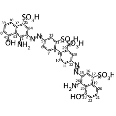 Nc1c(N=Nc2ccc(-c3ccc(N=Nc4cc(S(=O)(=O)O)c5cccc(O)c5c4N)cc3S(=O)(=O)O)c(S(=O)(=O)O)c2)cc(S(=O)(=O)O)c2cccc(O)c12